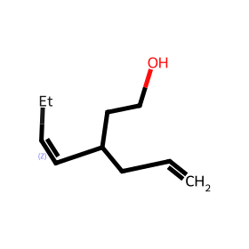 C=CCC(/C=C\CC)CCO